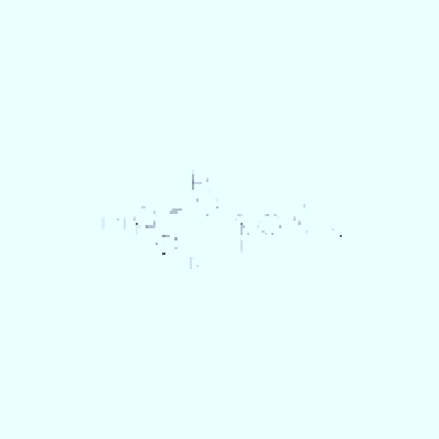 CN(C)CCNC(=O)c1ccc(NC(=O)Cc2cccc(C#Cc3cnc(N)nc3-c3cc4c(n3C)CCNC4=O)c2)cc1.Cl.Cl